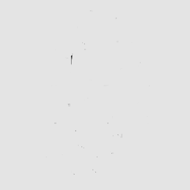 COc1ccc(Cl)c([C@@H]2NCc3nnc(C)n3-c3sc4c(c32)C[C@H](C(=O)N2CCOCC2)C4)c1